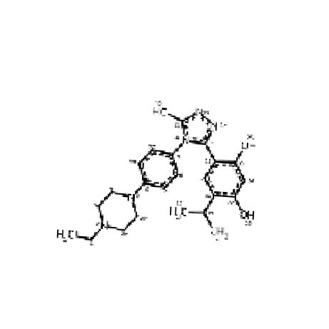 CCN1CCN(c2ccc(-n3c(O)nnc3-c3cc(C(C)C)c(O)cc3O)cc2)CC1